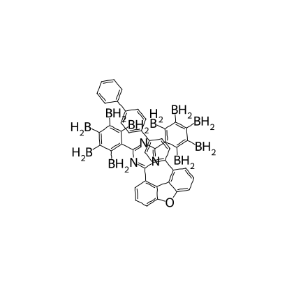 Bc1c(B)c(B)c(-c2nc(-c3c(B)c(B)c(B)c(B)c3B)nc(-c3cccc4oc5cccc(-c6ccc(-c7ccc(-c8ccccc8)cc7)cc6)c5c34)n2)c(B)c1B